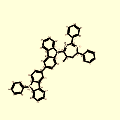 CC1CC(c2ccccc2)N=C(c2ccccc2)N=C1n1c2ccccc2c2cc(-c3ccc4c(c3)c3ccccc3n4-c3ccccc3)ccc21